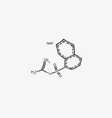 C=C(C)OS(=O)(=O)c1cccc2ccccc12.[NaH]